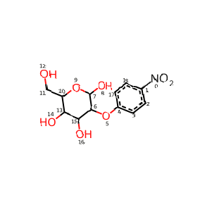 O=[N+]([O-])c1ccc(OC2C(O)OC(CO)C(O)C2O)cc1